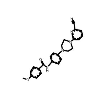 COc1ccc(C(=O)Nc2ccc(N3CCN(c4cccc(C#N)n4)CC3)cc2)cc1